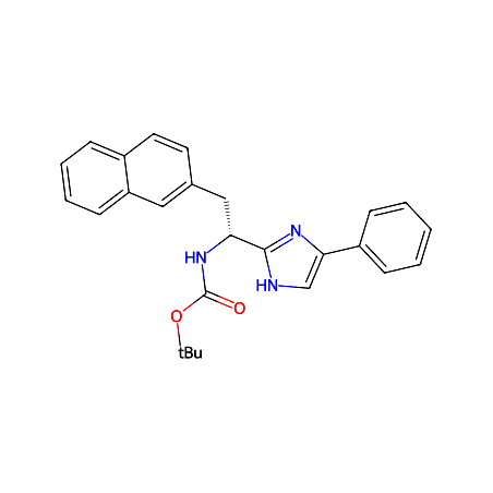 CC(C)(C)OC(=O)N[C@H](Cc1ccc2ccccc2c1)c1nc(-c2ccccc2)c[nH]1